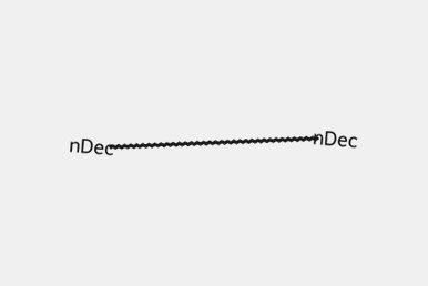 CCCCCCCCCCCCCCCCCCCCCCCCCCCCCCCCCCCCCCCCCCCCCCCCCCCCCCCCCCCCCCCCCCCCCCCCCCCCCCCCCCCCCCCC